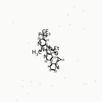 CCS(=O)(=O)c1cc(-c2cccnc2C2CC2)cnc1-c1nc2cc(C(F)(F)C(F)(F)F)cnc2n1C